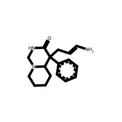 NC=CCC1(c2ccccc2)C(=O)NCN2CCCCC21